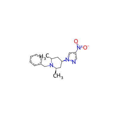 CC1C[C@@H](n2cc([N+](=O)[O-])cn2)C[C@@H](C)N1Cc1ccccc1